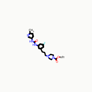 CCCOC(=O)N1CCN(CCCc2cc(F)cc(NC(=O)Nc3ccc(C)nc3)c2)CC1